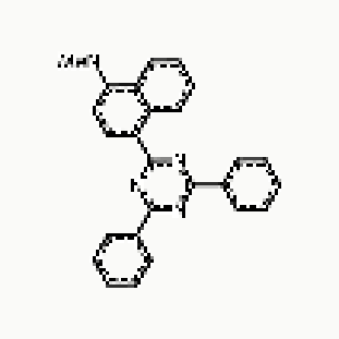 CNc1ccc(-c2nc(-c3ccccc3)nc(-c3ccccc3)n2)c2ccccc12